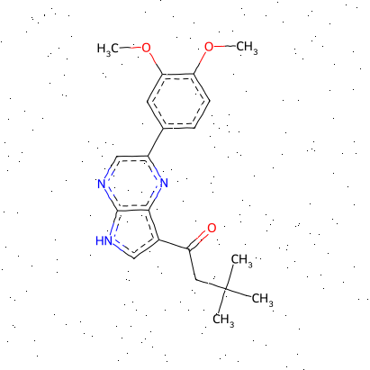 COc1ccc(-c2cnc3[nH]cc(C(=O)CC(C)(C)C)c3n2)cc1OC